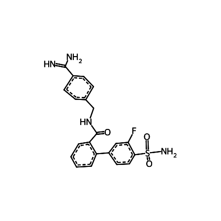 N=C(N)c1ccc(CNC(=O)c2ccccc2-c2ccc(S(N)(=O)=O)c(F)c2)cc1